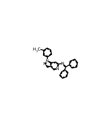 Cc1cccc(-n2ncc3cnc(N=C(c4ccccc4)c4ccccc4)cc32)c1